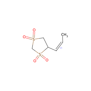 C/C=C\C1CS(=O)(=O)CS1(=O)=O